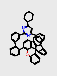 c1ccc(-c2cc(C3CCCCC3)nc(-c3cccc(-c4ccccc4-c4cccc5c4Oc4ccccc4C54c5ccccc5-c5ccccc54)c3)n2)cc1